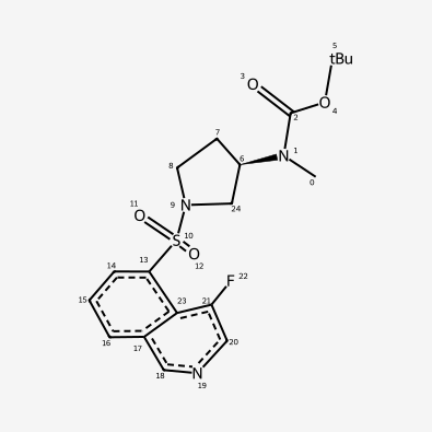 CN(C(=O)OC(C)(C)C)[C@@H]1CCN(S(=O)(=O)c2cccc3cncc(F)c23)C1